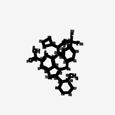 CC(Nc1nc(C(=O)O)nc2nc(C3CCCCN3C)n(Cc3ccc(C(F)(F)F)cc3)c12)C1CCC1